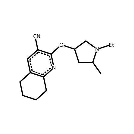 CCN1CC(Oc2nc3c(cc2C#N)CCCC3)CC1C